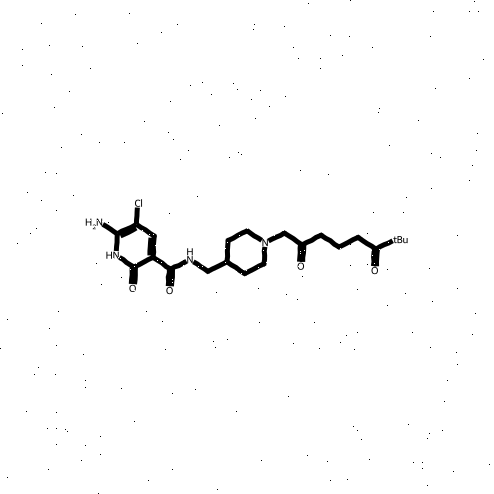 CC(C)(C)C(=O)CCCC(=O)CN1CCC(CNC(=O)c2cc(Cl)c(N)[nH]c2=O)CC1